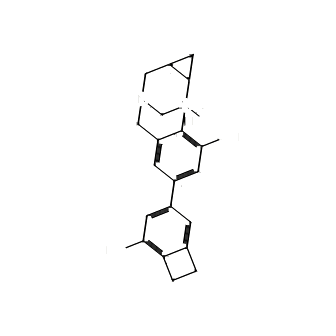 Cc1cc(-c2cc(C)c3c(c2)CN2CC4CC4[N+]3(C)C2)cc2c1CC2